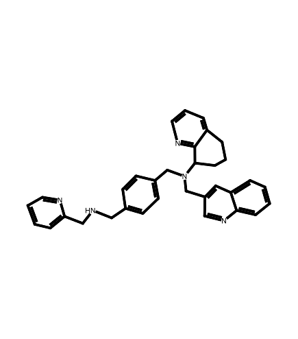 c1ccc(CNCc2ccc(CN(Cc3cnc4ccccc4c3)C3CCCc4cccnc43)cc2)nc1